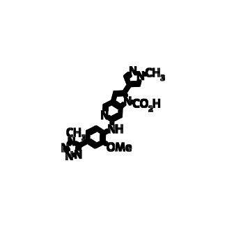 COc1cc(-c2nnnn2C)ccc1Nc1cc2c(cn1)cc(-c1cnn(C)c1)n2C(=O)O